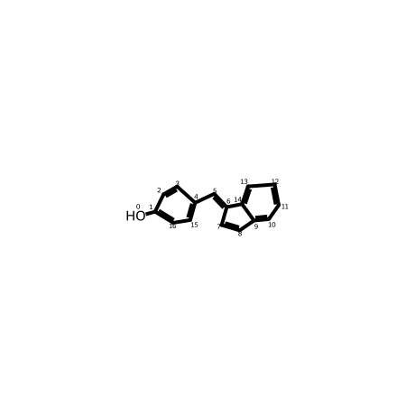 Oc1ccc(/C=C2\C=Cc3ccccc32)cc1